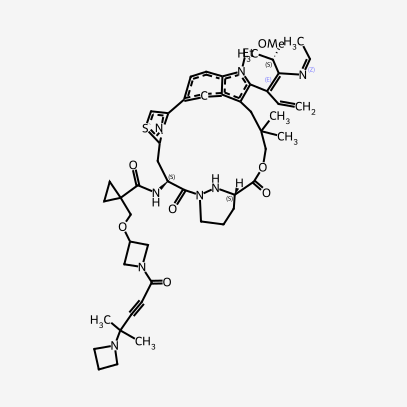 C=C/C(=C(\N=C/C)[C@H](C)OC)c1c2c3cc(ccc3n1CC)-c1csc(n1)C[C@H](NC(=O)C1(COC3CN(C(=O)C#CC(C)(C)N4CCC4)C3)CC1)C(=O)N1CCC[C@H](N1)C(=O)OCC(C)(C)C2